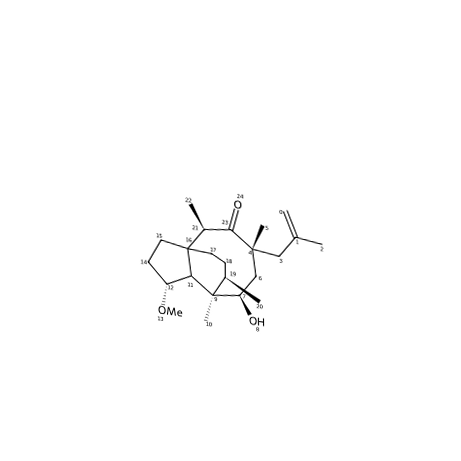 C=C(C)C[C@]1(C)C[C@@H](O)[C@@]2(C)C3[C@H](OC)CCC3(CC[C@H]2C)[C@@H](C)C1=O